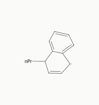 CCCC1C=C[CH]c2ccccc21